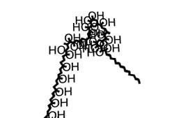 C=C(CCC(O)C1CC(O)C(O)C(C(O)C(O)/C=C(\C)CCC(O)CC(O)C(O)C(C)CC(O)C(O)CCCC(O)CCCC(O)CCCC(O)/C=C/CC(O)/C=C/CC(O)CO)O1)C(O)C(O)C1CC(O)C(O)C(C(O)C(O)/C=C/CC/C=C/C=C/C=C/CC/C=C/C)O1